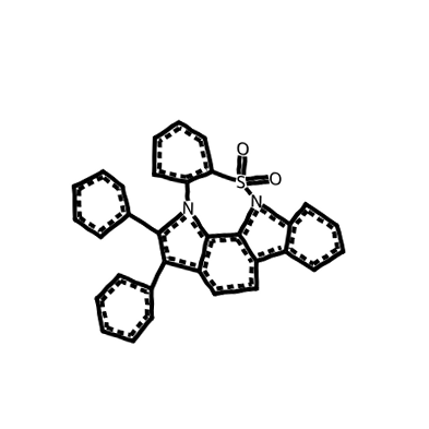 O=S1(=O)c2ccccc2-n2c(-c3ccccc3)c(-c3ccccc3)c3ccc4c5ccccc5n1c4c32